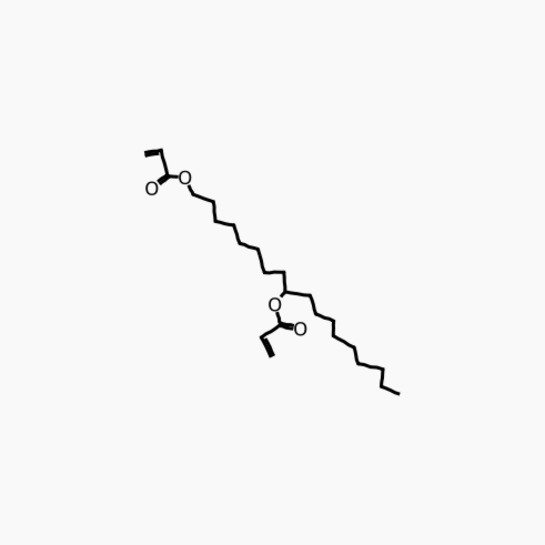 C=CC(=O)OCCCCCCCCC(CCCCCCCCC)OC(=O)C=C